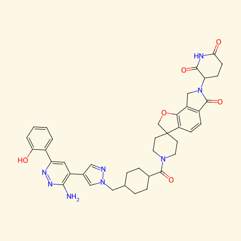 Nc1nnc(-c2ccccc2O)cc1-c1cnn(CC2CCC(C(=O)N3CCC4(CC3)COc3c4ccc4c3CN(C3CCC(=O)NC3=O)C4=O)CC2)c1